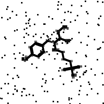 COC(O)[C@@H](Cc1ccc(N)cc1)NCCCS(=O)(=O)O